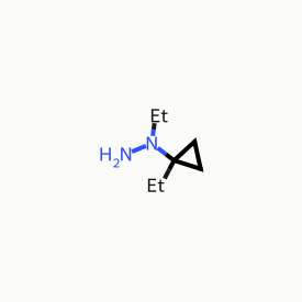 CCN(N)C1(CC)CC1